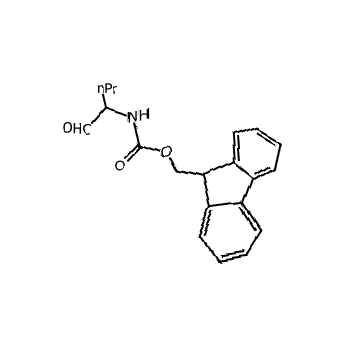 CCCC(C=O)NC(=O)OCC1c2ccccc2-c2ccccc21